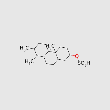 CC1CCC2C(CCC3CC(OS(=O)(=O)O)CCC32C)C1C